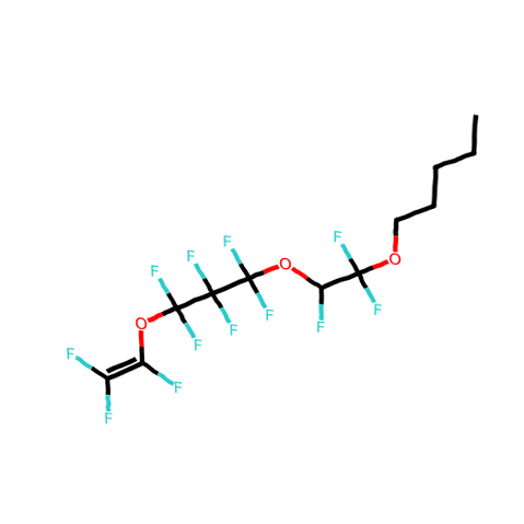 CCCCCOC(F)(F)C(F)OC(F)(F)C(F)(F)C(F)(F)OC(F)=C(F)F